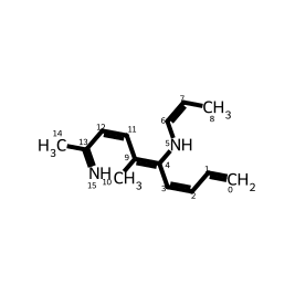 C=C\C=C/C(N/C=C\C)=C(C)/C=C\C(C)=N